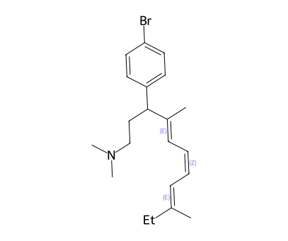 CC/C(C)=C/C=C\C=C(/C)C(CCN(C)C)c1ccc(Br)cc1